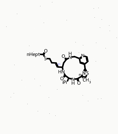 CCCCCCCC(=O)SCC/C=C/C1CC(=O)NCc2cc(ccn2)C2=N[C@@](C)(CS2)C(=O)NC(C(C)C)C(=O)N1